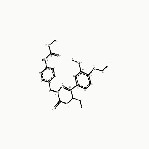 CCC1SC(=O)N(Cc2ccc(NC(=O)OC)cc2)N=C1c1ccc(OCF)c(OC)c1